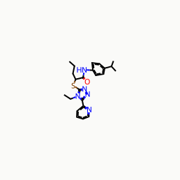 CCCC(Sc1nnc(-c2ccccn2)n1CC)C(=O)Nc1ccc(C(C)C)cc1